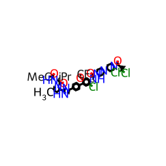 COC(=O)N[C@H](C(=O)N1CC(C)CC1c1nc(-c2ccc(-c3cc(Cl)c(NC(=O)N4CCN(C5CCN(C(=O)C6CC6(Cl)Cl)CC5)CC4)cc3OC(F)(F)F)cc2)c[nH]1)C(C)C